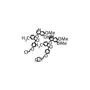 COc1cc2nccc(Oc3ccc(C)cc3C(=O)c3ccc(OCCCl)cc3)c2cc1OC.COc1cc2nccc(Oc3ccc(C)cc3C(=O)c3ccc(OCCN4CCOCC4)cc3)c2cc1OC